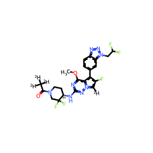 [2H]c1c(F)c(-c2ccc3nnn(CC(F)F)c3c2)c2c(OC)nc(N[C@@H]3CCN(C(=O)C([2H])([2H])[2H])CC3(F)F)nn12